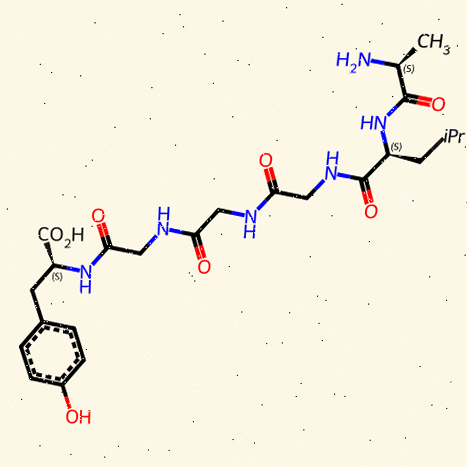 CC(C)C[C@H](NC(=O)[C@H](C)N)C(=O)NCC(=O)NCC(=O)NCC(=O)N[C@@H](Cc1ccc(O)cc1)C(=O)O